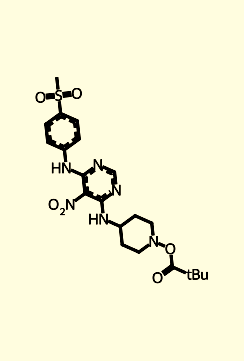 CC(C)(C)C(=O)ON1CCC(Nc2ncnc(Nc3ccc(S(C)(=O)=O)cc3)c2[N+](=O)[O-])CC1